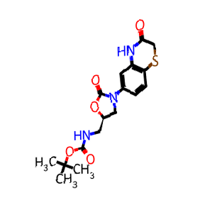 CC(C)(C)OC(=O)NC[C@@H]1CN(c2ccc3c(c2)NC(=O)CS3)C(=O)O1